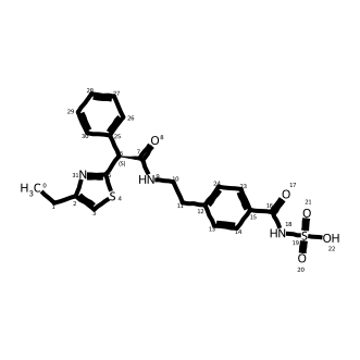 CCc1csc([C@H](C(=O)NCCc2ccc(C(=O)NS(=O)(=O)O)cc2)c2ccccc2)n1